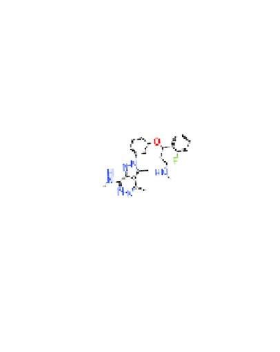 CNCCC(Oc1cccc(-n2nc3c(NC)nnc(C)c3c2C)c1)c1ccccc1F